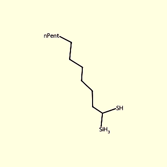 CCCCCCCCCCCC([SiH3])S